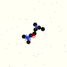 c1ccc(-c2ccc3c(c2)c2cc(-c4ccc5oc6cc(-c7nc(-c8ccccc8)nc(-c8ccccc8)n7)ccc6c5c4)ccc2n3-c2ccccc2)cc1